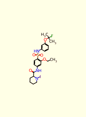 CCOc1cc(NC(=O)C2CCCCN2I)ccc1S(=O)(=O)Nc1cccc(OC(C)(C)F)c1